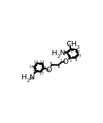 Cc1cccc(OCCCOc2cccc(N)c2)c1N